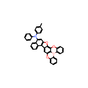 Cc1ccc(N(c2ccccc2)c2cc3oc4c5c6c(cc4c3c3ccccc23)Oc2ccccc2B6c2ccccc2O5)cc1